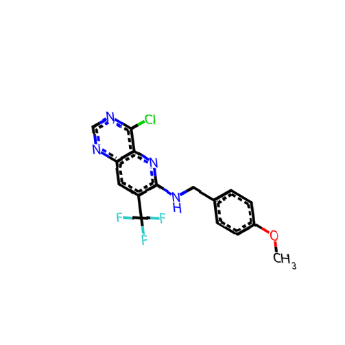 COc1ccc(CNc2nc3c(Cl)ncnc3cc2C(F)(F)F)cc1